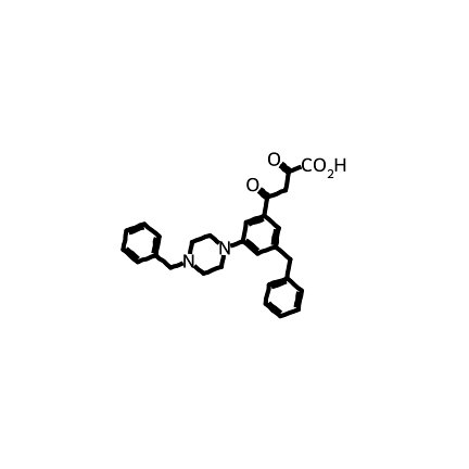 O=C(O)C(=O)CC(=O)c1cc(Cc2ccccc2)cc(N2CCN(Cc3ccccc3)CC2)c1